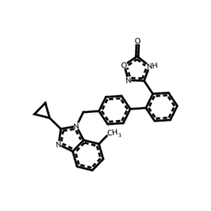 Cc1cccc2nc(C3CC3)n(Cc3ccc(-c4ccccc4-c4noc(=O)[nH]4)cc3)c12